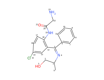 CC(CO)N=C(c1ccccc1)c1cc(Cl)ccc1NC(=O)CN